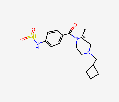 C[C@H]1CN(CC2CCC2)CCN1C(=O)c1ccc(N[SH](=O)=O)cc1